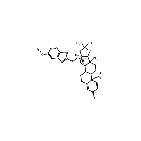 CCOc1ccc2[nH]c(SCC(=O)[C@@]34OC(C)(C)O[C@@H]3CC3C5CCC6=CC(=O)C=CC6(C)C5[C@@H](O)CC34C)nc2c1